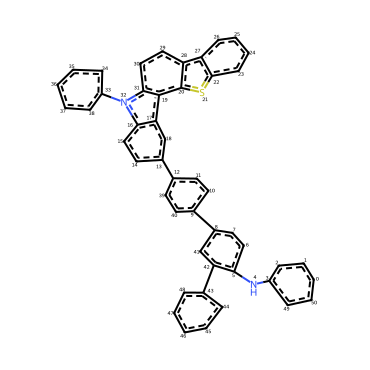 c1ccc(Nc2ccc(-c3ccc(-c4ccc5c(c4)c4c6sc7ccccc7c6ccc4n5-c4ccccc4)cc3)cc2-c2ccccc2)cc1